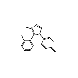 C=C/C=C\C(=C/C)n1cc[n+](C)c1-c1ccccc1C